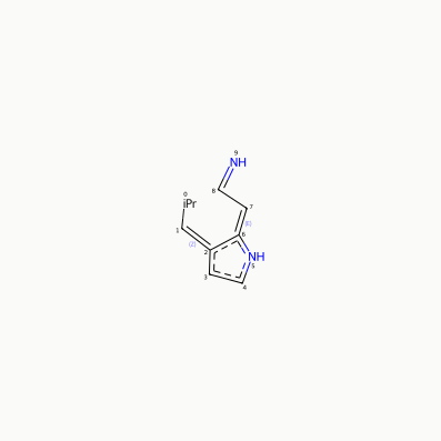 CC(C)/C=c1/cc[nH]/c1=C/C=N